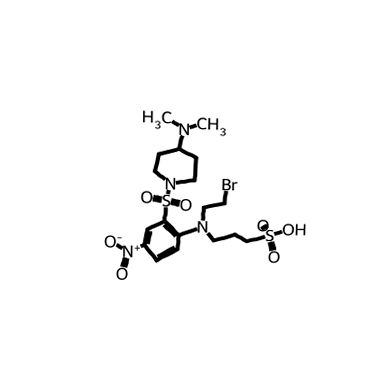 CN(C)C1CCN(S(=O)(=O)c2cc([N+](=O)[O-])ccc2N(CCBr)CCCS(=O)(=O)O)CC1